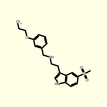 CS(=O)(=O)c1ccc2[nH]cc(CCNCc3cccc(OCCC(F)(F)F)c3)c2c1